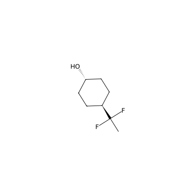 CC(F)(F)[C@H]1CC[C@H](O)CC1